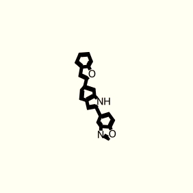 c1ccc2oc(-c3ccc4cc(-c5ccc6ocnc6c5)[nH]c4c3)cc2c1